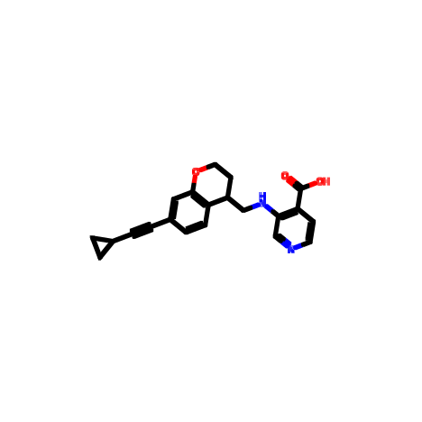 O=C(O)c1ccncc1NCC1CCOc2cc(C#CC3CC3)ccc21